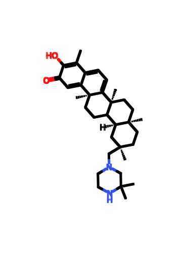 CC1=C(O)C(=O)C=C2C1=CC=C1[C@@]2(C)CCC2[C@@H]3C[C@](C)(CN4CCNC(C)(C)C4)CC[C@]3(C)CC[C@]12C